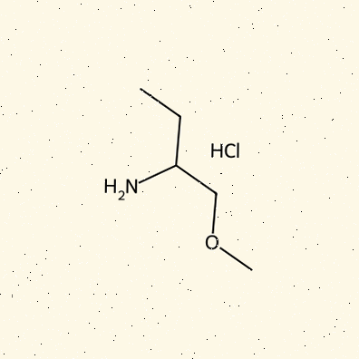 CCC(N)COC.Cl